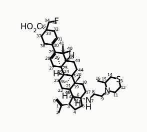 C=C(C)[C@@H]1CC[C@]2(NCCN3CCSCC3C)CC[C@]3(C)[C@H](CC[C@@H]4[C@@]5(C)CC=C(C6=CC[C@@](CF)(C(=O)O)CC6)C(C)(C)[C@@H]5CC[C@]43C)[C@@H]12